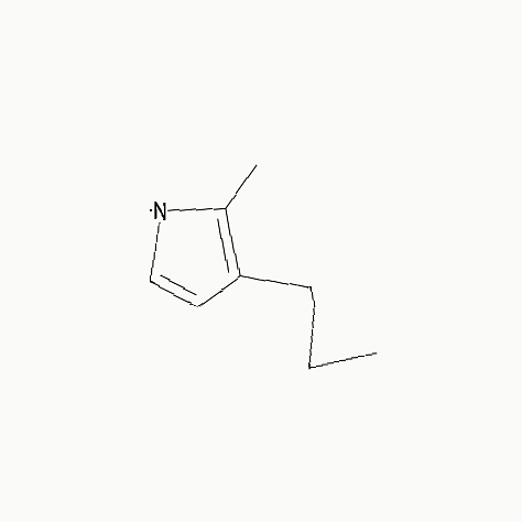 CCCC1=C(C)[N]C=C1